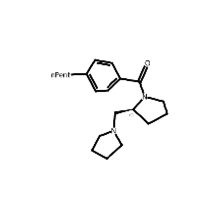 CCCCCc1ccc(C(=O)N2CCC[C@H]2CN2CCCC2)cc1